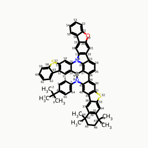 CC(C)(C)c1ccc(N2B3c4cc5c(cc4-n4c6cc7c(cc6c6ccc(c3c64)-c3cc4sc6cc8c(cc6c4cc32)C(C)(C)CCC8(C)C)oc2ccccc27)sc2ccccc25)cc1